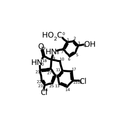 O=C(O)c1cc(O)ccc1NC1(Cc2cccc(Cl)c2)C(=O)Nc2cc(Cl)ccc21